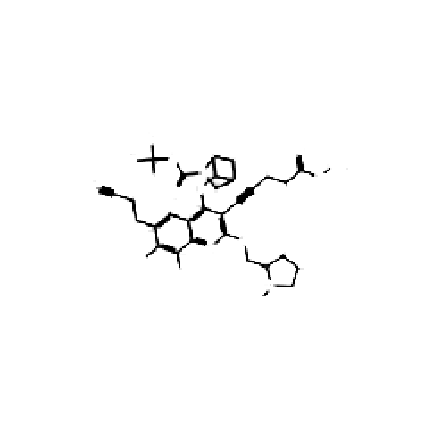 COC(=O)CCC#Cc1c(OCC2CCCN2C)nc2c(F)c(Br)c(CCC#N)cc2c1NC1C2CC1N(C(=O)OC(C)(C)C)C2